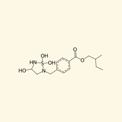 CCC(C)COC(=O)c1ccc(CN2CC(O)NS2(O)O)cc1